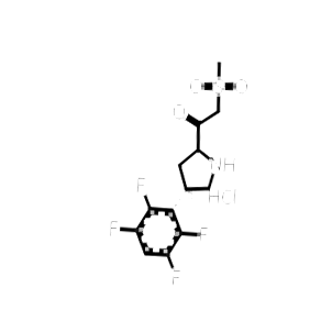 CS(=O)(=O)CC(=O)C1C[C@@H](c2c(F)c(F)cc(F)c2F)CN1.Cl